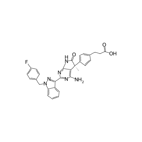 C[C@@]1(c2ccc(CCC(=O)O)cc2)C(=O)Nc2nc(-c3nn(Cc4ccc(F)cc4)c4ccccc34)nc(N)c21